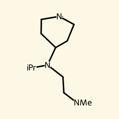 CNCCN(C(C)C)C1CC[N]CC1